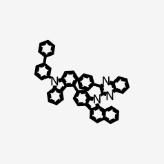 c1ccc(-c2cccc(-n3c4ccccc4c4c(-c5ccc6c7ccc8ccccc8c7n(-c7nc8ccccc8nc7-c7ccccc7)c6c5)cccc43)c2)cc1